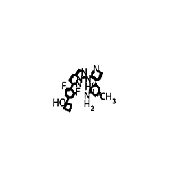 C[C@@H]1C[C@H](N)C[C@H](c2ccncc2Nc2ncc3ccc(-c4c(F)cc(C5(O)CCC5)cc4F)nn23)C1